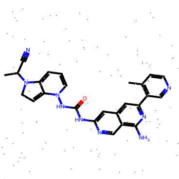 Cc1ccncc1-c1cc2cc(NC(=O)NN3C=CC=C4C3=CCN4C(C)C#N)ncc2c(N)n1